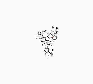 COC(=O)c1cc(C(Cc2ccccc2)(NC(=O)c2ccc(F)c(C(F)(F)F)c2)c2cc(F)cc(OC(F)(F)C(F)F)c2)ccc1F